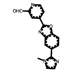 Cn1ccnc1-c1ccc2oc(-c3ccnc(C=O)c3)nc2c1